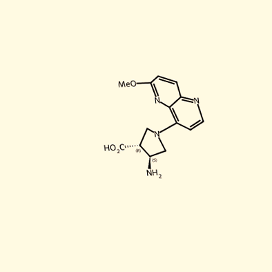 COc1ccc2nccc(N3C[C@@H](N)[C@H](C(=O)O)C3)c2n1